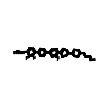 C/C=C/CCC1CCC(C2CC=C(c3ccc(-c4ccc(-c5ccc(CCCCCCCCC)c(F)c5F)cc4)cc3F)CC2)CC1